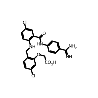 N=C(N)c1ccc(NC(=O)c2cc(Cl)ccc2NCc2ccc(Cl)cc2OCC(=O)O)cc1